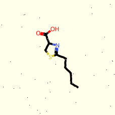 CCCCCC1=NC(C(=O)O)CS1